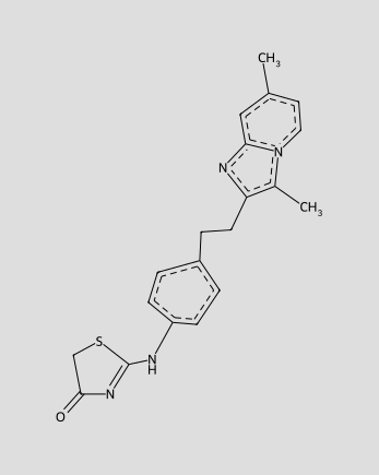 Cc1ccn2c(C)c(CCc3ccc(NC4=NC(=O)CS4)cc3)nc2c1